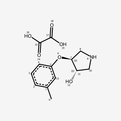 Cc1cccc(O[C@H]2CNC[C@@H]2O)c1.O=C(O)C(=O)O